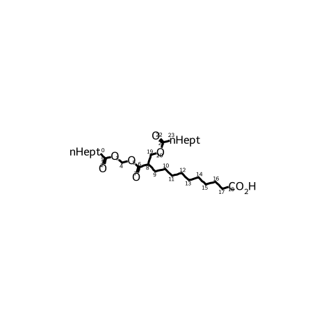 CCCCCCCC(=O)OCOC(=O)C(CCCCCCCCCC(=O)O)COC(=O)CCCCCCC